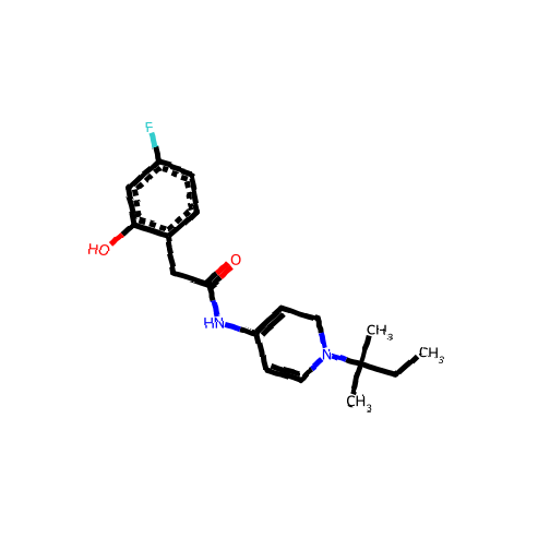 CCC(C)(C)N1C=CC(NC(=O)Cc2ccc(F)cc2O)=CC1